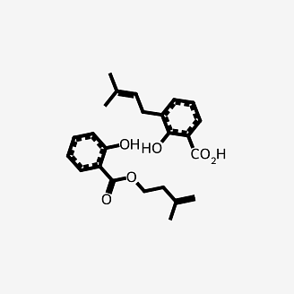 C=C(C)CCOC(=O)c1ccccc1O.CC(C)=CCc1cccc(C(=O)O)c1O